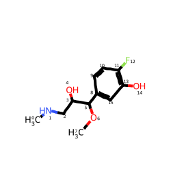 CNCC(O)C(OC)c1ccc(F)c(O)c1